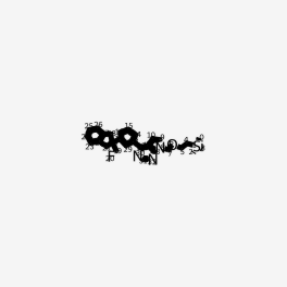 C[Si](C)(C)CCOCn1ccc2c(-c3cccc(C4(CF)Cc5ccccc5C4)c3)ncnc21